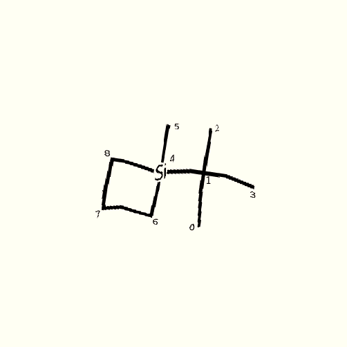 CC(C)(C)[Si]1(C)CCC1